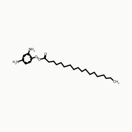 CCCCCCCCCCCCCCCCCC(=O)OOc1ccc(N)cc1N